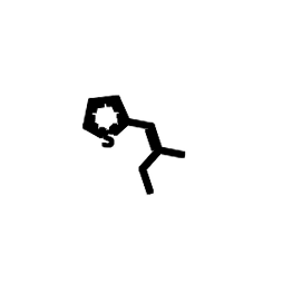 CCC(C)=Cc1cccs1